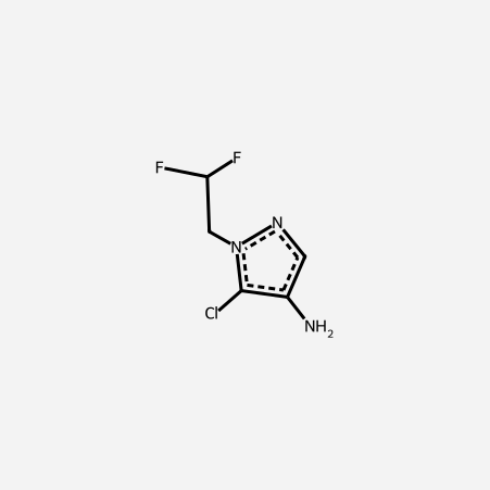 Nc1cnn(CC(F)F)c1Cl